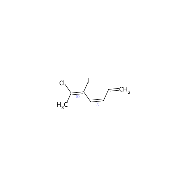 C=C/C=C\C(I)=C(/C)Cl